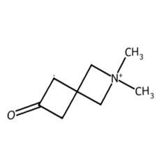 C[N+]1(C)CC2([CH]C(=O)C2)C1